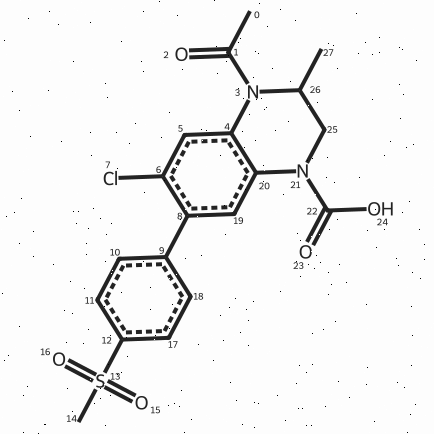 CC(=O)N1c2cc(Cl)c(-c3ccc(S(C)(=O)=O)cc3)cc2N(C(=O)O)CC1C